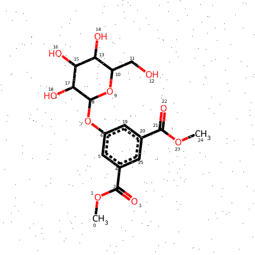 COC(=O)c1cc(OC2OC(CO)C(O)C(O)C2O)cc(C(=O)OC)c1